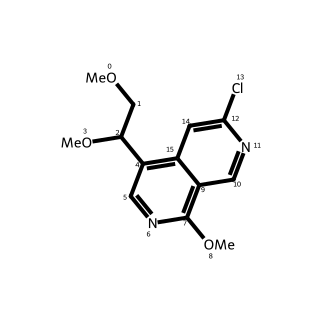 COCC(OC)c1cnc(OC)c2cnc(Cl)cc12